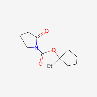 CCC1(OC(=O)N2CCCC2=O)CCCC1